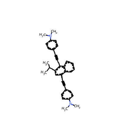 CC(C)c1cc(C#Cc2ccc(N(C)C)cc2)c2ccccc2c1C#Cc1ccc(N(C)C)cc1